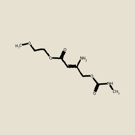 CNC(=O)OC/C(N)=C/C(=O)OCCOC